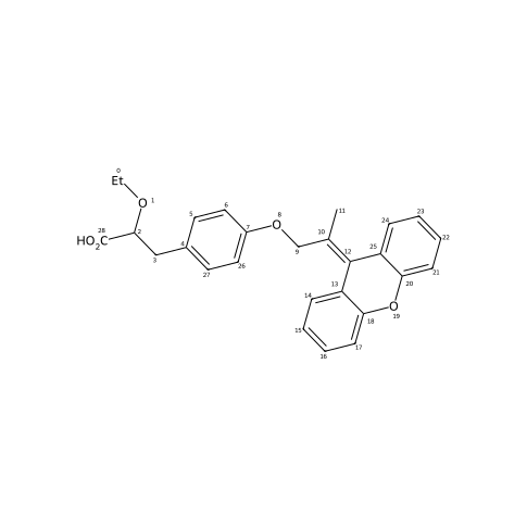 CCOC(Cc1ccc(OCC(C)=C2c3ccccc3Oc3ccccc32)cc1)C(=O)O